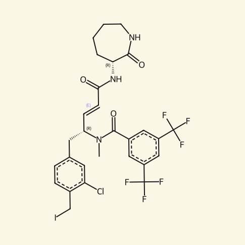 CN(C(=O)c1cc(C(F)(F)F)cc(C(F)(F)F)c1)[C@@H](/C=C/C(=O)N[C@@H]1CCCCNC1=O)Cc1ccc(CI)c(Cl)c1